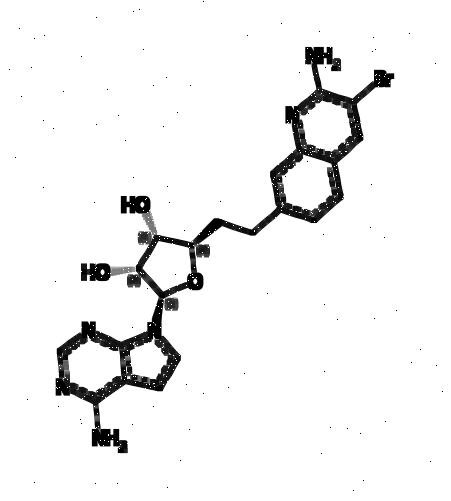 Nc1nc2cc(CC[C@H]3O[C@@H](n4ccc5c(N)ncnc54)[C@H](O)[C@@H]3O)ccc2cc1Br